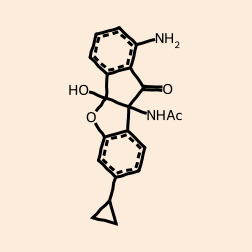 CC(=O)NC12C(=O)c3c(N)cccc3C1(O)Oc1cc(C3CC3)ccc12